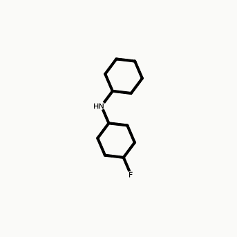 FC1CCC(NC2CCCCC2)CC1